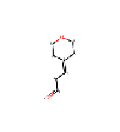 O=CCC=C1CCOCC1